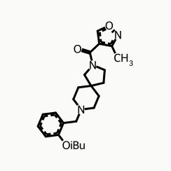 Cc1nocc1C(=O)N1CCC2(CCN(Cc3ccccc3OCC(C)C)CC2)C1